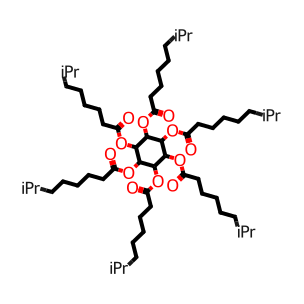 CC(C)CCCCCC(=O)OC1C(OC(=O)CCCCCC(C)C)C(OC(=O)CCCCCC(C)C)C(OC(=O)CCCCCC(C)C)C(OC(=O)CCCCCC(C)C)C1OC(=O)CCCCCC(C)C